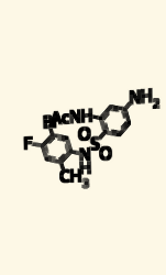 CC(=O)Nc1cc(N)ccc1S(=O)(=O)Nc1cc(Br)c(F)cc1C